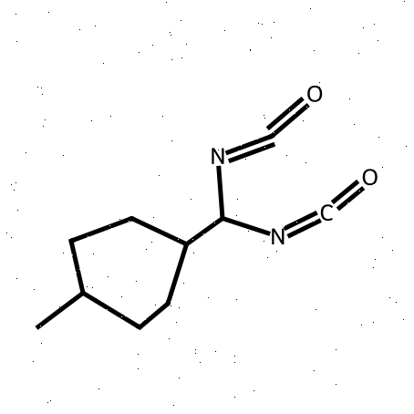 CC1CCC(C(N=C=O)N=C=O)CC1